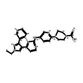 CCn1cc(-c2ccnc(Nc3ccc(N4CCN(C(=O)O)CC4)nc3)n2)c(-c2cccnc2)n1